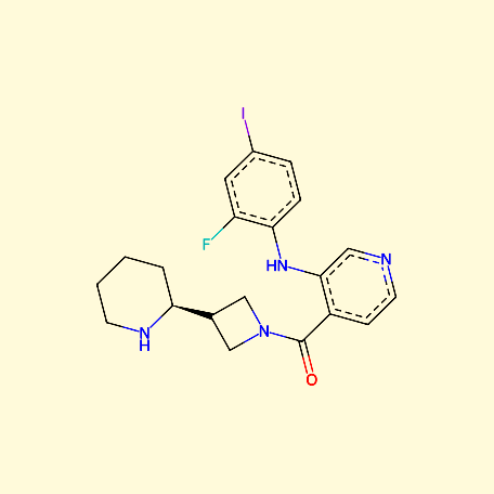 O=C(c1ccncc1Nc1ccc(I)cc1F)N1CC([C@@H]2CCCCN2)C1